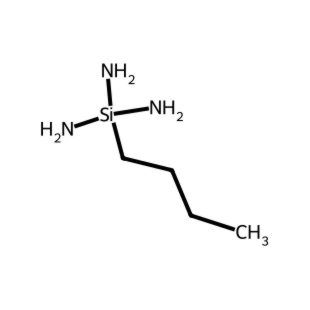 CCCC[Si](N)(N)N